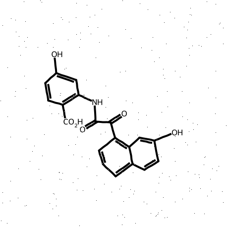 O=C(Nc1cc(O)ccc1C(=O)O)C(=O)c1cccc2ccc(O)cc12